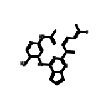 C=C(C)Nc1cc(Nc2nc(C(=C)/C=C\C=C(/C)F)nn3cccc23)c(P)cn1